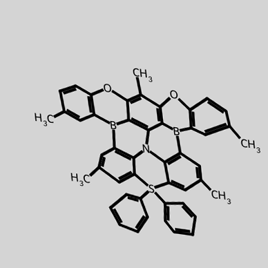 Cc1ccc2c(c1)B1c3cc(C)cc4c3N3c5c(cc(C)cc5S4(c4ccccc4)c4ccccc4)B4c5cc(C)ccc5Oc5c(C)c(c1c3c54)O2